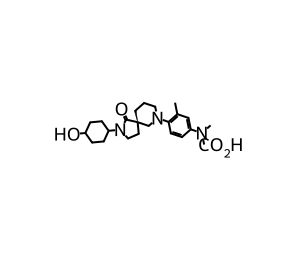 Cc1cc(N(C)C(=O)O)ccc1N1CCC[C@]2(CCN(C3CCC(O)CC3)C2=O)C1